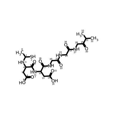 CC(S)NC(CC(=O)O)C(=O)NC(CC(=O)O)C(=O)NCC(=O)NCC(=O)NCC(=O)C(C)C